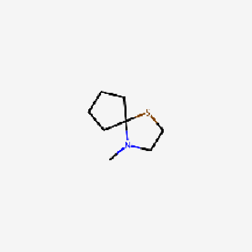 CN1CCSC12CCCC2